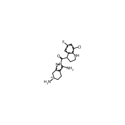 Nc1c2c(nn1C(=O)C1CCNc3c(Cl)cc(F)cc31)C[C@H](N)CC2